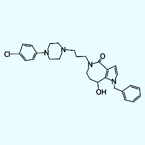 O=C1c2ccn(Cc3ccccc3)c2C(O)CCN1CCCN1CCN(c2ccc(Cl)cc2)CC1